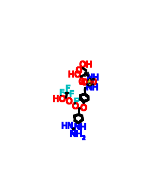 N=C(N)Nc1ccc(C(=O)Oc2ccc(CNS(=O)(=O)N[C@@H](CC(=O)O)C(=O)O)cc2F)cc1.O=C(O)C(F)(F)F